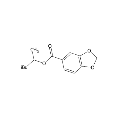 CCC(C)C(C)OC(=O)c1ccc2c(c1)OCO2